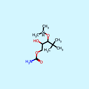 C[SiH](C)OC(C(O)COC(N)=O)C(C)(C)C